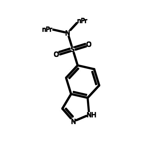 CCCN(CCC)S(=O)(=O)c1ccc2[nH]ncc2c1